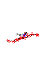 C=CC(=O)OCCCCOC(=O)C1CCC(OC(=O)C2CCC(C(=O)Oc3ccc(OC(=O)C4CCC(C(=O)OC5CCC(C(=O)OCCCCOC(=O)C=C)CC5)CC4)c(/C=N/N(CCCCC)c4nc5ccccc5s4)c3)CC2)CC1